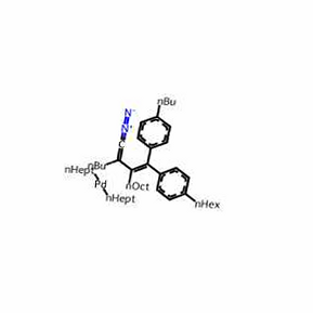 CCCCCCCCC(C(=C=[N+]=[N-])CCCC)=C(c1ccc(CCCC)cc1)c1ccc(CCCCCC)cc1.CCCCCC[CH2][Pd][CH2]CCCCCC